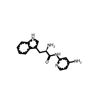 Nc1ccnc(NC(=O)[C@H](N)Cc2c[nH]c3ccccc23)c1